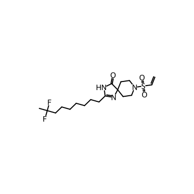 C=CS(=O)(=O)N1CCC2(CC1)N=C(CCCCCCCC(C)(F)F)NC2=O